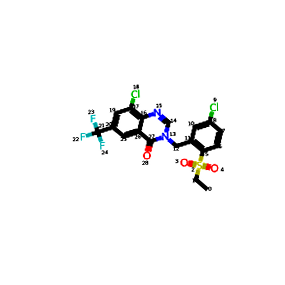 CCS(=O)(=O)c1ccc(Cl)cc1Cn1cnc2c(Cl)cc(C(F)(F)F)cc2c1=O